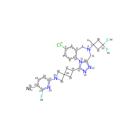 CC1(N2Cc3cc(Cl)ccc3-n3c(nnc3C3CC4(C3)CN(c3ccc(C#N)c(F)n3)C4)C2)CC(F)(F)C1